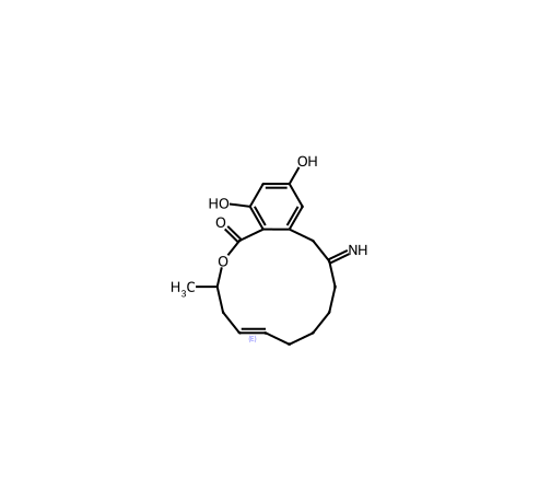 CC1C/C=C/CCCCC(=N)Cc2cc(O)cc(O)c2C(=O)O1